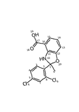 CC1(c2ccc(Cl)cc2Cl)Nc2c(cccc2C(=O)O)O1